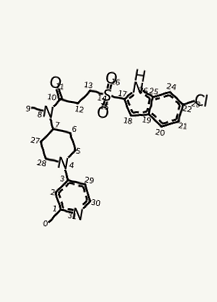 Cc1cc(N2CCC(N(C)C(=O)CCS(=O)(=O)c3cc4ccc(Cl)cc4[nH]3)CC2)ccn1